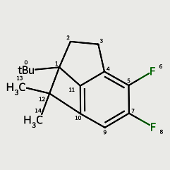 CC(C)(C)C12CCc3c(F)c(F)cc(c31)C2(C)C